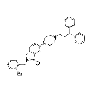 O=C1c2cc(N3CCN(CCC(c4ccccc4)c4ccccc4)CC3)ccc2CN1Cc1ccccc1Br